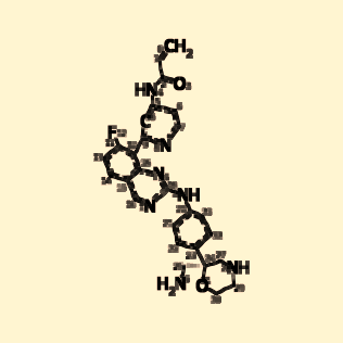 C=CC(=O)Nc1ccnc(-c2c(F)ccc3cnc(Nc4ccc([C@@]5(CN)CNCCO5)cc4)nc23)c1